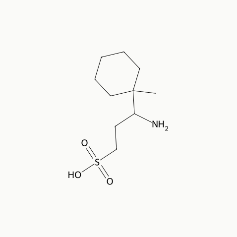 CC1(C(N)CCS(=O)(=O)O)CCCCC1